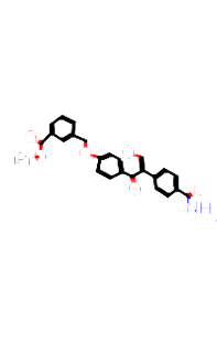 CC(C)OC(=O)c1cccc(COc2ccc3c(=O)c(-c4ccc(C(N)=O)cc4)coc3c2)c1